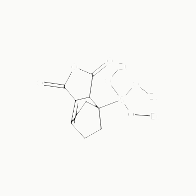 CCO[Si](OCC)(OCC)C12CCC(=C3C(=O)OC(=O)C31)C2